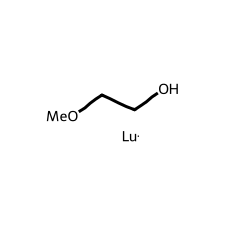 COCCO.[Lu]